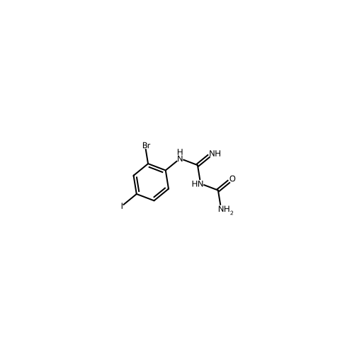 N=C(NC(N)=O)Nc1ccc(I)cc1Br